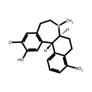 CN1CCc2cc(Cl)c(O)cc2[C@H]2c3cccc([N+](=O)[O-])c3CC[C@@H]21